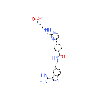 N=C(N)c1c[nH]c2ccc(CCNC(=O)c3ccc(-c4ccnc(CNCCCC(=O)O)n4)cc3)cc12